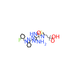 CC(C)(CCc1csc(C2(C)C(=O)Nc3nc(-c4nn(Cc5ccccc5F)c5ccccc45)nc(N)c32)n1)C(=O)O